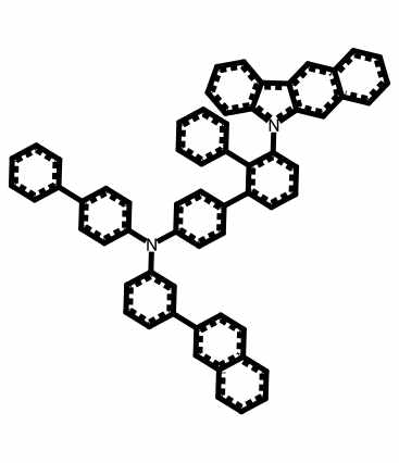 c1ccc(-c2ccc(N(c3ccc(-c4cccc(-n5c6ccccc6c6cc7ccccc7cc65)c4-c4ccccc4)cc3)c3cccc(-c4ccc5ccccc5c4)c3)cc2)cc1